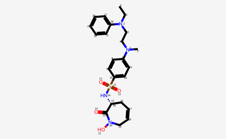 CCN(CCN(C)c1ccc(S(=O)(=O)N[C@@H]2CC=CCN(O)C2=O)cc1)c1ccccc1